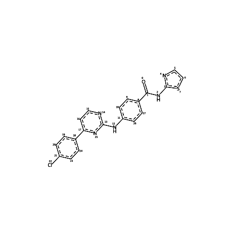 O=C(Nc1nccs1)c1ccc(Nc2nccc(-c3ccc(Cl)cc3)n2)cc1